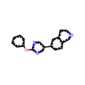 c1ccc(Oc2ncc(-c3ccc4cnccc4c3)cn2)cc1